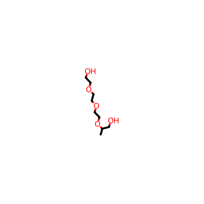 CC(CO)OCCOCCOCCO